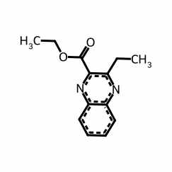 CCOC(=O)c1nc2ccccc2nc1CC